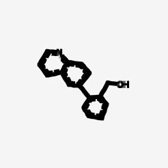 OCc1ccccc1-c1ccc2ncccc2c1